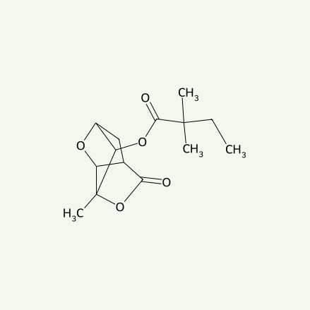 CCC(C)(C)C(=O)OC1C2CC3C(=O)OC1(C)C3O2